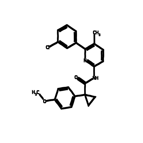 COc1ccc(C2(C(=O)Nc3ccc(C)c(-c4cccc(Cl)c4)n3)CC2)cc1